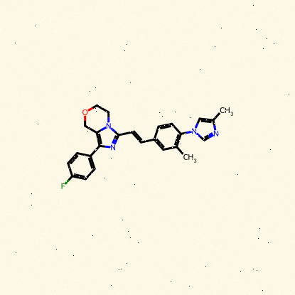 Cc1cn(-c2ccc(/C=C/c3nc(-c4ccc(F)cc4)c4n3CCOC4)cc2C)cn1